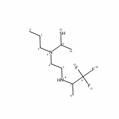 CCCN(CCNC(C)C(F)(F)F)C(C)S